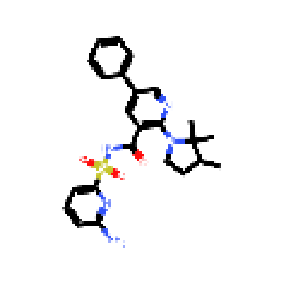 CC1CCN(c2ncc(-c3ccccc3)cc2C(=O)NS(=O)(=O)c2cccc(N)n2)C1(C)C